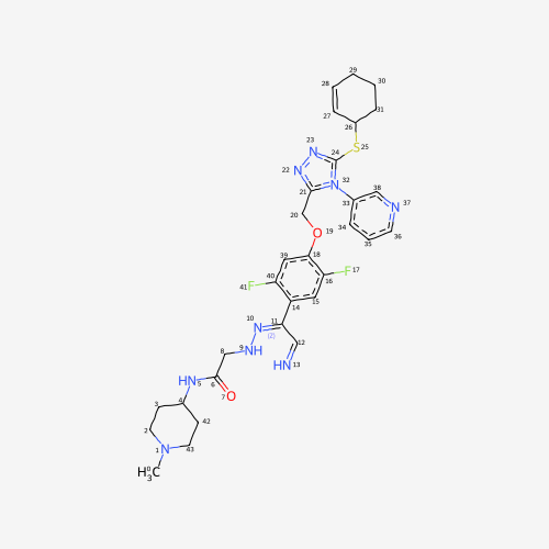 CN1CCC(NC(=O)CN/N=C(\C=N)c2cc(F)c(OCc3nnc(SC4C=CCCC4)n3-c3cccnc3)cc2F)CC1